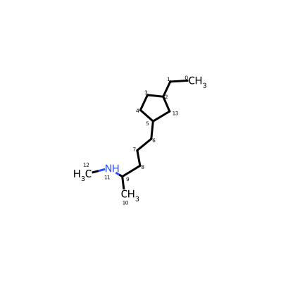 CCC1CCC(CCCC(C)NC)C1